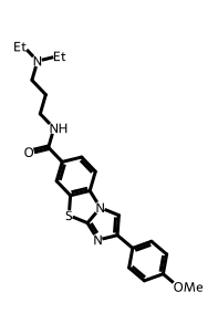 CCN(CC)CCCNC(=O)c1ccc2c(c1)sc1nc(-c3ccc(OC)cc3)cn12